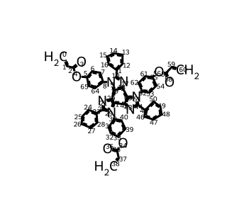 C=CC(=O)Oc1ccc(-n2c(-c3ccccc3)nc3c2c2nc(-c4ccccc4)n(-c4ccc(OC(=O)C=C)cc4)c2c2nc(-c4ccccc4)n(-c4ccc(OC(=O)C=C)cc4)c32)cc1